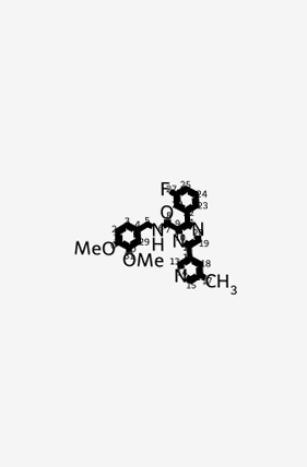 COc1ccc(CNC(=O)c2nc(-c3cncc(C)c3)cnc2-c2cccc(F)c2)cc1OC